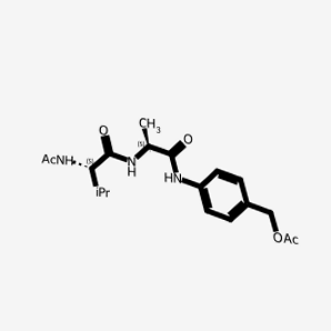 CC(=O)N[C@H](C(=O)N[C@@H](C)C(=O)Nc1ccc(COC(C)=O)cc1)C(C)C